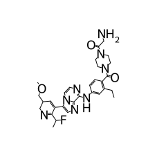 CCc1cc(Nc2nccn3c(C4=CC(COC)CN=C4C(C)F)cnc23)ccc1C(=O)N1CCN(C(=O)CN)CC1